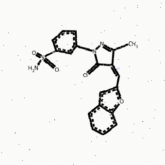 CC1=NN(c2cccc(S(N)(=O)=O)c2)C(=O)/C1=C\c1cc2ccccc2o1